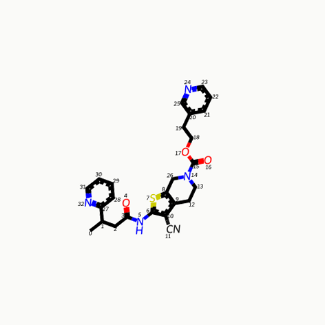 CC(CC(=O)Nc1sc2c(c1C#N)CCN(C(=O)OCCc1cccnc1)C2)c1ccccn1